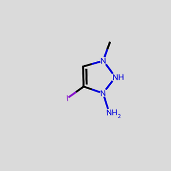 CN1C=C(I)N(N)N1